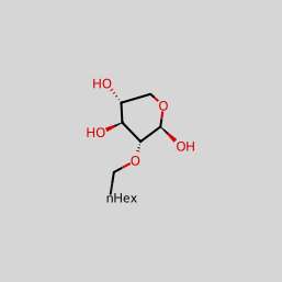 CCCCCCCO[C@@H]1[C@@H](O)[C@H](O)CO[C@H]1O